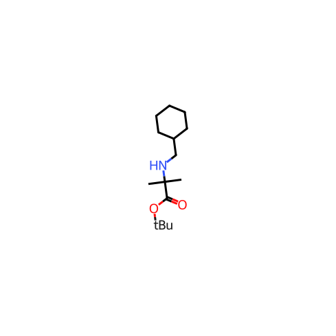 CC(C)(C)OC(=O)C(C)(C)NCC1CCCCC1